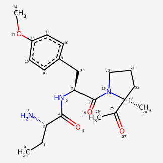 CC[C@H](N)C(=O)N[C@@H](Cc1ccc(OC)cc1)C(=O)N1CCC[C@@]1(C)C(C)=O